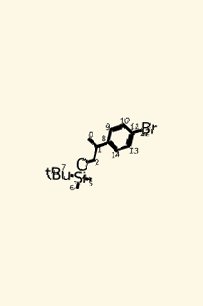 CC(CO[Si](C)(C)C(C)(C)C)c1ccc(Br)cc1